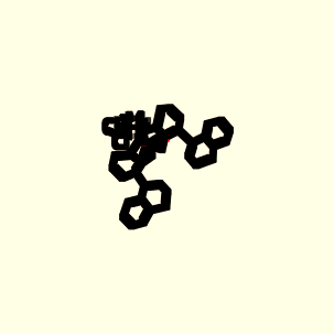 C[CH]=[Hf]([CH3])([CH3])([CH3])([CH3])([Cl])([Cl])([CH]1C(C)=Cc2c(-c3cccc4ccccc34)cccc21)[CH]1C(C)=Cc2c(-c3cccc4ccccc34)cccc21